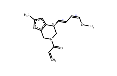 C=CC(=O)N1Cc2sc(C)cc2[C@@H](/C=C/C=C\SC)C1